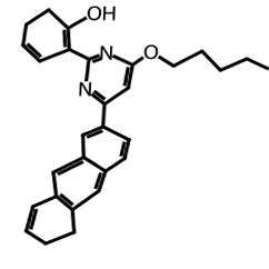 CCCCCOc1cc(-c2ccc3cc4c(cc3c2)C=CCC4)nc(C2=C(O)CCC=C2)n1